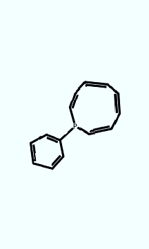 c1ccccp(-c2ccccc2)ccc1